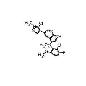 COc1ccc(F)c(Cl)c1[C@@H](C)c1c[nH]c2ncc(-c3cnn(C)c3Cl)cc12